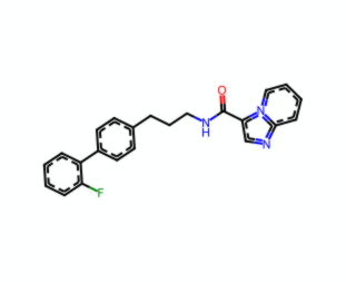 O=C(NCCCc1ccc(-c2ccccc2F)cc1)c1cnc2ccccn12